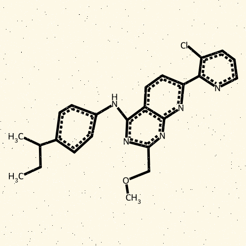 CCC(C)c1ccc(Nc2nc(COC)nc3nc(-c4ncccc4Cl)ccc23)cc1